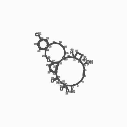 CC[C@@H]1CC/C=C\[C@H](O)[C@@H]2CC[C@H]2CN2CCCCc3cc(Cl)ccc3COc3ccc(cc32)C(=O)NS1(=O)=O